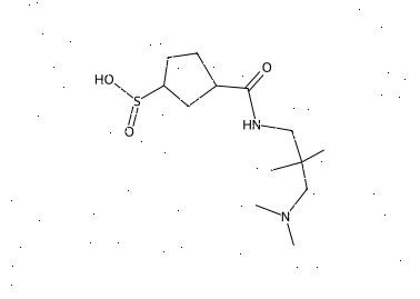 CN(C)CC(C)(C)CNC(=O)C1CCC(S(=O)O)C1